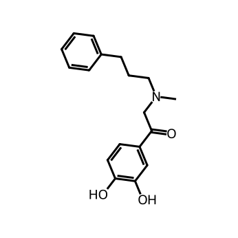 CN(CCCc1ccccc1)CC(=O)c1ccc(O)c(O)c1